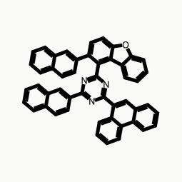 c1ccc2cc(-c3nc(-c4cc5ccccc5c5ccccc45)nc(-c4c(-c5ccc6ccccc6c5)ccc5oc6ccccc6c45)n3)ccc2c1